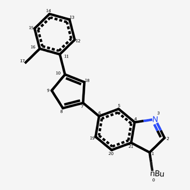 CCCCC1C=Nc2cc(C3=CCC(c4ccccc4C)=C3)ccc21